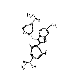 CNC(O)c1cc(F)c(-c2nc3cc(C)ccn3c2C[C@H]2CN(C(C)=O)CCO2)c(F)c1